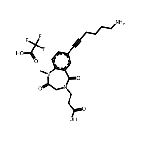 CN1C(=O)CN(CCC(=O)O)C(=O)c2cc(C#CCCCCN)ccc21.O=C(O)C(F)(F)F